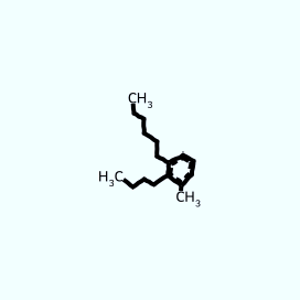 CCCCCCc1[c]ccc(C)c1CCCC